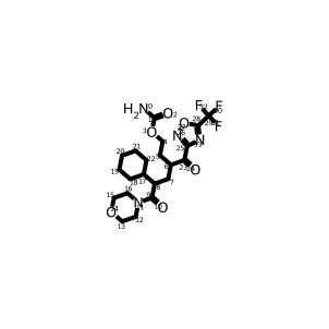 NC(=O)OCCC(CC(C(=O)N1CCOCC1)C1CCCCC1)C(=O)c1noc(C(F)(F)F)n1